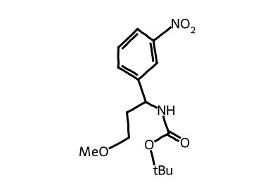 COCCC(NC(=O)OC(C)(C)C)c1cccc([N+](=O)[O-])c1